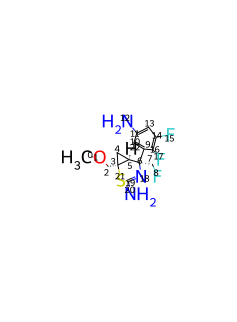 COC[C@]12C[C@H]1[C@@](CF)(c1cc(N)cc(F)c1F)N=C(N)S2